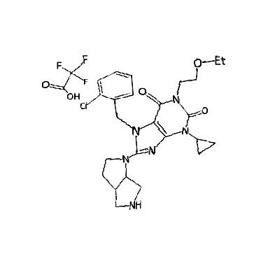 CCOCCn1c(=O)c2c(nc(N3CCC4CNCC43)n2Cc2ccccc2Cl)n(C2CC2)c1=O.O=C(O)C(F)(F)F